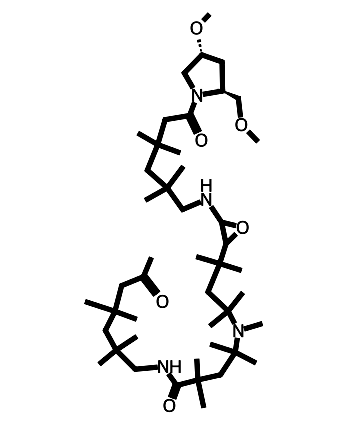 COC[C@@H]1C[C@@H](OC)CN1C(=O)CC(C)(C)CC(C)(C)CNC1OC1C(C)(C)CC(C)(C)N(C)C(C)(C)CC(C)(C)C(=O)NCC(C)(C)CC(C)(C)CC(C)=O